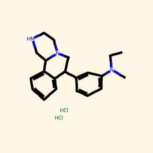 CCN(C)c1cccc(C2CN3CCNCC3c3ccccc32)c1.Cl.Cl